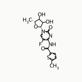 Cc1ccc(C(=O)Nc2nc(=O)n([C@@H]3O[C@H](C)C(O)C3O)cc2F)s1